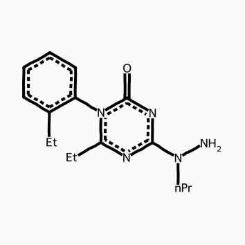 CCCN(N)c1nc(CC)n(-c2ccccc2CC)c(=O)n1